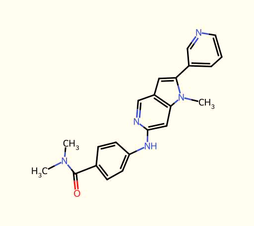 CN(C)C(=O)c1ccc(Nc2cc3c(cn2)cc(-c2cccnc2)n3C)cc1